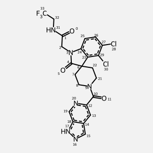 O=C(CN1C(=O)C2(CCN(C(=O)c3cc4cn[nH]c4cn3)CC2)c2c1ccc(Cl)c2Cl)NCC(F)(F)F